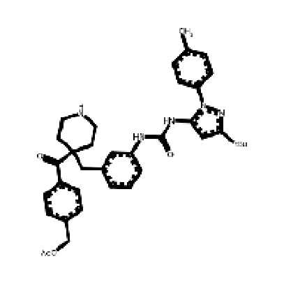 CC(=O)OCc1ccc(C(=O)C2(Cc3cccc(NC(=O)Nc4cc(C(C)(C)C)nn4-c4ccc(C)cc4)c3)CCNCC2)cc1